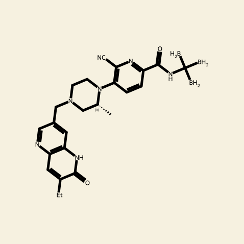 BC(B)(B)NC(=O)c1ccc(N2CCN(Cc3cnc4cc(CC)c(=O)[nH]c4c3)C[C@H]2C)c(C#N)n1